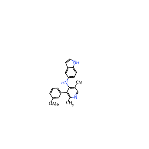 COc1cccc(-c2c(C)ncc(C#N)c2Nc2ccc3[nH]ccc3c2)c1